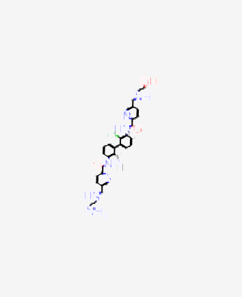 Cc1c(NC(=O)c2ccc(CNCCN)cn2)cccc1-c1cccc(NC(=O)c2ccc(CNCCO)cn2)c1Cl